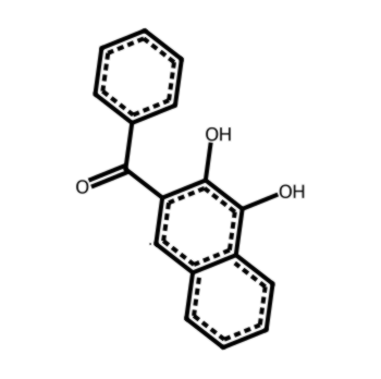 O=C(c1ccccc1)c1[c]c2ccccc2c(O)c1O